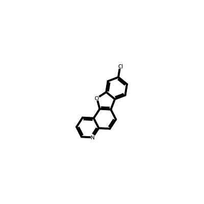 Clc1ccc2c(c1)oc1c3cccnc3ccc21